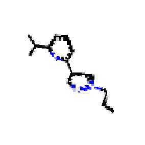 CCCn1cc(-c2cccc(C(C)C)n2)cn1